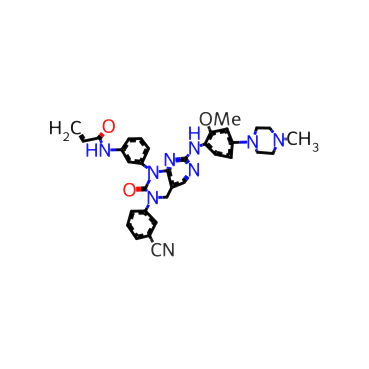 C=CC(=O)Nc1cccc(N2C(=O)N(c3cccc(C#N)c3)Cc3cnc(Nc4ccc(N5CCN(C)CC5)cc4OC)nc32)c1